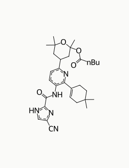 CCCCC(=O)OC1(C)CC(c2ccc(NC(=O)c3nc(C#N)c[nH]3)c(C3=CCC(C)(C)CC3)n2)CC(C)(C)O1